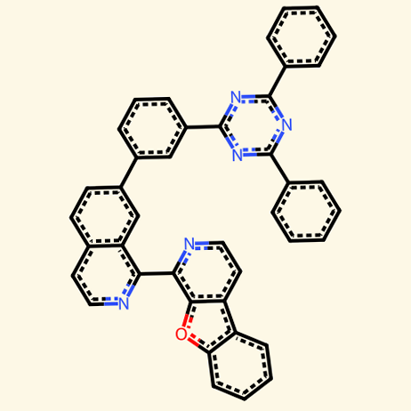 c1ccc(-c2nc(-c3ccccc3)nc(-c3cccc(-c4ccc5ccnc(-c6nccc7c6oc6ccccc67)c5c4)c3)n2)cc1